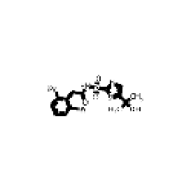 CC(C)c1cccc(C(C)C)c1CC(=O)NS(=O)(=O)c1ncc(C(C)(C)O)s1